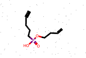 C#CCCCP(=O)(O)OCCC=C